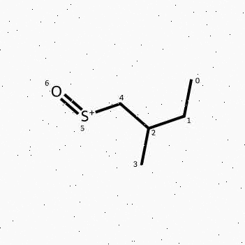 CCC(C)C[S+]=O